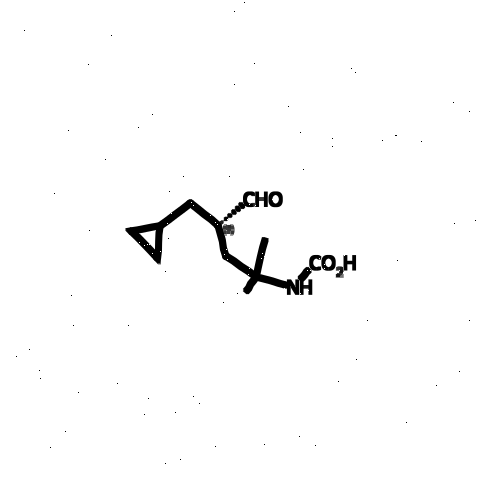 CC(C)(C[C@@H](C=O)CC1CC1)NC(=O)O